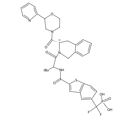 CC(C)(C)C(NC(=O)c1cc2cc(C(F)(F)P(=O)(O)O)ccc2s1)C(=O)N1Cc2ccccc2C[C@H]1C(=O)N1CCOC(c2ccccn2)C1